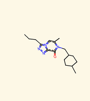 CCCc1nnc2c(=O)n(CC3CCC(C)CC3)c(C)cn12